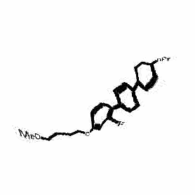 CCCC1CCC(c2ccc(-c3ccc(OCCCCOC)cc3F)cc2)CC1